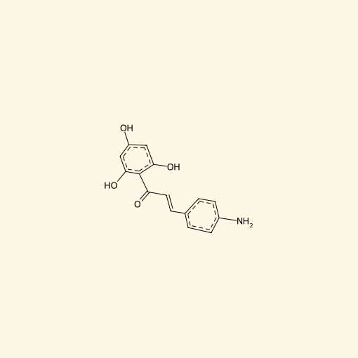 Nc1ccc(/C=C/C(=O)c2c(O)cc(O)cc2O)cc1